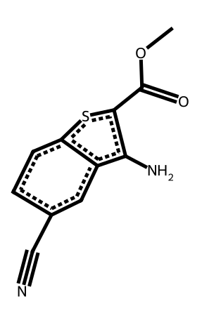 COC(=O)c1sc2ccc(C#N)cc2c1N